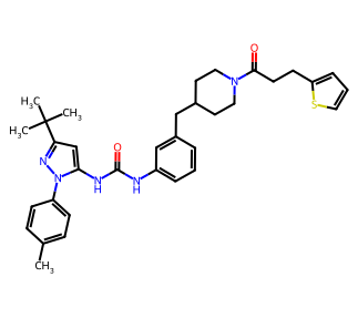 Cc1ccc(-n2nc(C(C)(C)C)cc2NC(=O)Nc2cccc(CC3CCN(C(=O)CCc4cccs4)CC3)c2)cc1